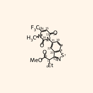 CCC(C(=O)OC)c1nsc2ccc(-n3c(=O)cc(C(F)(F)F)n(C)c3=O)cc12